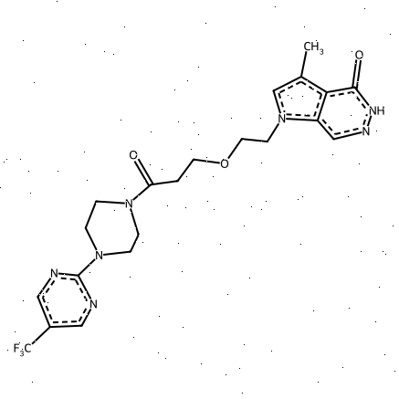 Cc1cn(CCOCCC(=O)N2CCN(c3ncc(C(F)(F)F)cn3)CC2)c2cn[nH]c(=O)c12